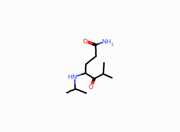 CC(C)NC(CCC(N)=O)C(=O)C(C)C